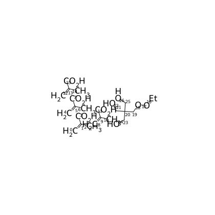 C=C(C)C(=O)O.C=C(C)C(=O)O.C=C(C)C(=O)O.C=C(C)C(=O)O.CCOOCC(CO)(CO)CO